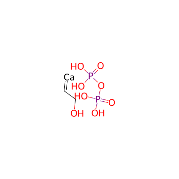 O=P(O)(O)OP(=O)(O)O.OC[CH]=[Ca]